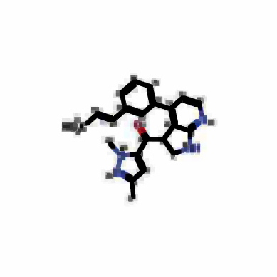 Cc1cc(C(=O)C2CNc3nccc(-c4cccc(/C=C/C(=O)O)c4)c32)n(C)n1